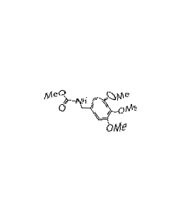 COC(=O)NCc1cc(OC)c(OC)c(OC)c1